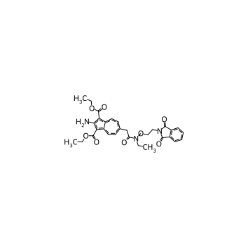 CCOC(=O)c1c2ccc(CC(=O)N(CC)OCCN3C(=O)c4ccccc4C3=O)ccc-2c(C(=O)OCC)c1N